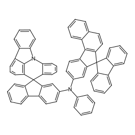 c1ccc(N(c2ccc3c(c2)C2(c4ccccc4-c4ccccc42)c2ccc4ccccc4c2-3)c2ccc3c(c2)C2(c4ccccc4-3)c3ccccc3-n3c4ccccc4c4cccc2c43)cc1